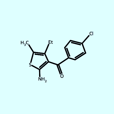 CCc1c(C)sc(N)c1C(=O)c1ccc(Cl)cc1